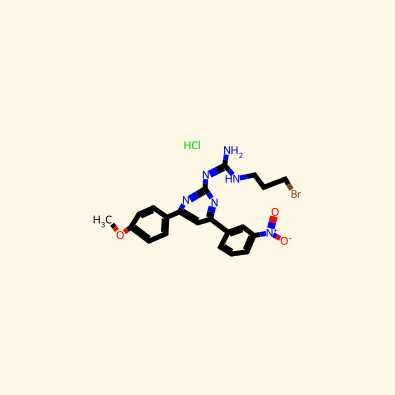 COc1ccc(-c2cc(-c3cccc([N+](=O)[O-])c3)nc(N=C(N)NCCCBr)n2)cc1.Cl